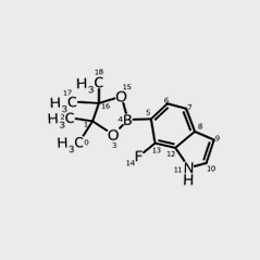 CC1(C)OB(c2ccc3cc[nH]c3c2F)OC1(C)C